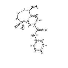 N[C@@H]1CCCS(=O)(=O)c2cc(C(=O)Nc3ccncc3)ccc21